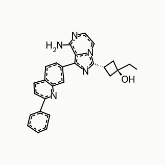 CC[C@]1(O)C[C@H](c2nc(-c3ccc4ccc(-c5ccccc5)nc4c3)c3c(N)nccn32)C1